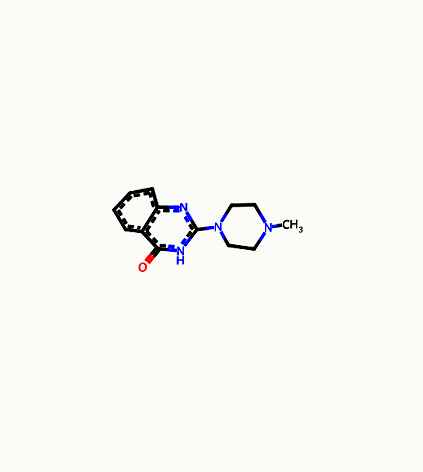 CN1CCN(c2nc3ccccc3c(=O)[nH]2)CC1